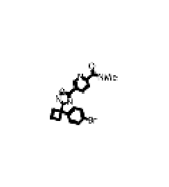 CNC(=O)c1ccc(-c2nc(C3(c4ccc(Br)cc4)CCC3)no2)cn1